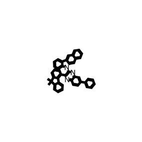 CC1(C)c2ccccc2-c2c(-c3nc4ccc(-c5ccccc5)cc4nc3-n3c4ccccc4c4cc5ccccc5cc43)cccc21